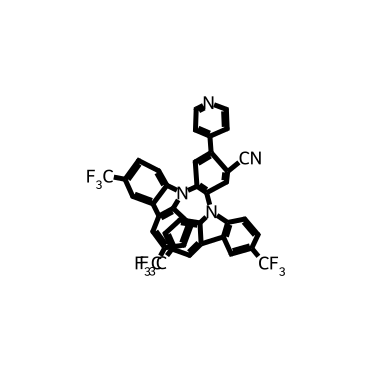 N#Cc1cc(-n2c3ccc(C(F)(F)F)cc3c3cc(C(F)(F)F)ccc32)c(-n2c3ccc(C(F)(F)F)cc3c3cc(C(F)(F)F)ccc32)cc1-c1ccncc1